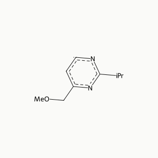 COCc1c[c]nc(C(C)C)n1